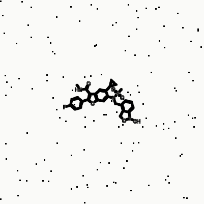 CNC(=O)c1c(-c2ccc(F)cc2)oc2cc(N(Cc3cccc4c3COB4O)S(C)(=O)=O)c(C3CC3)cc12